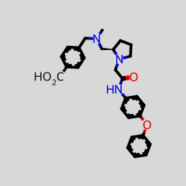 CN(Cc1ccc(C(=O)O)cc1)C[C@H]1CCCN1CC(=O)Nc1ccc(Oc2ccccc2)cc1